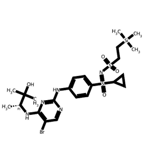 C[C@@H](Nc1nc(Nc2ccc(S(=O)(=NS(=O)(=O)CC[Si](C)(C)C)C3CC3)cc2)ncc1Br)C(C)(C)O